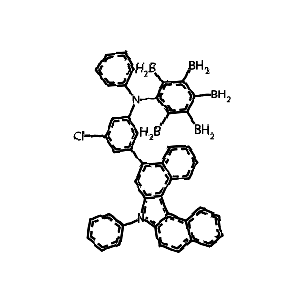 Bc1c(B)c(B)c(N(c2ccccc2)c2cc(Cl)cc(-c3cc4c(c5ccccc35)c3c5ccccc5ccc3n4-c3ccccc3)c2)c(B)c1B